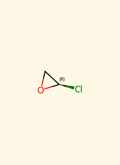 Cl[C@@H]1CO1